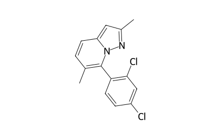 Cc1cc2ccc(C)c(-c3ccc(Cl)cc3Cl)n2n1